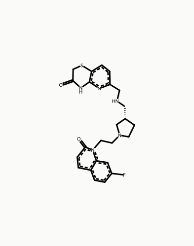 O=C1CSc2ccc(CNC[C@@H]3CCN(CCn4c(=O)ccc5ccc(F)cc54)C3)nc2N1